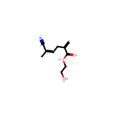 C=C(CC=C(C)C#N)C(=O)OCCO